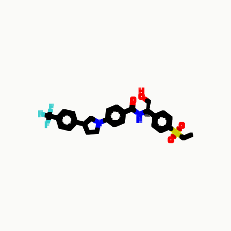 CCS(=O)(=O)c1ccc([C@H](CO)NC(=O)c2ccc(N3CCC(c4ccc(C(F)(F)F)cc4)C3)cc2)cc1